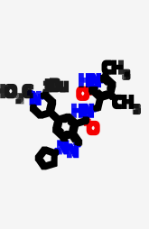 Cc1cc(C)c(CNC(=O)c2cc(C3=CC(C(C)(C)C)N(C(=O)O)CC3)cc3c2cnn3C2CCCC2)c(=O)[nH]1